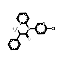 CC(C(=O)N(c1ccc(Cl)nc1)c1ccccn1)c1ccccc1